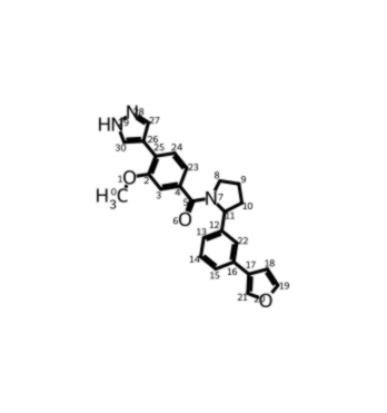 COc1cc(C(=O)N2CCCC2c2cccc(-c3ccoc3)c2)ccc1-c1cn[nH]c1